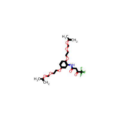 C=C(C)OCOCCOc1ccc(OCCOCOC(=C)C)c(NC(=O)CC(=O)C(F)(F)F)c1